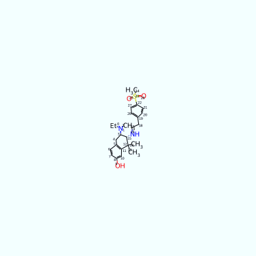 CCN(C)[C@@H]1Cc2ccc(O)cc2C(C)(C)[C@H]1NCCc1ccc(S(C)(=O)=O)cc1